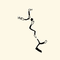 C=CC(=O)OCCOP(O)O